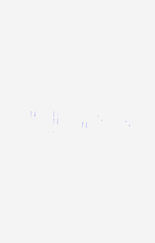 O=S(=O)(NCCCN1CCN(c2cccc3[nH]ccc23)CC1)c1cccc2scnc12